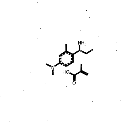 C=C(C)C(=O)O.CCC(N)c1ccc(N(C)C)cc1C